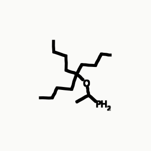 CCCCC(CCCC)(CCCC)OC(C)P